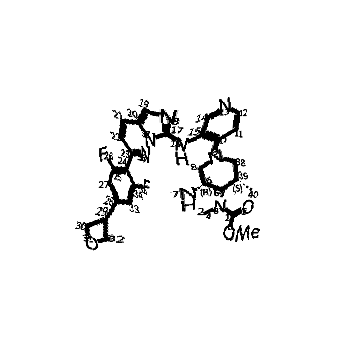 COC(=O)N(C)[C@@H]1[C@H](N)CN(c2ccncc2Nc2ncc3ccc(-c4c(F)cc(C5COC5)cc4F)nn23)C[C@@H]1C